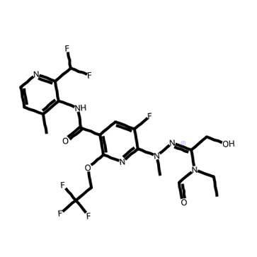 CCN(C=O)/C(CO)=N\N(C)c1nc(OCC(F)(F)F)c(C(=O)Nc2c(C)ccnc2C(F)F)cc1F